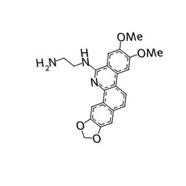 COc1cc2c(NCCN)nc3c4cc5c(cc4ccc3c2cc1OC)OCO5